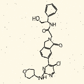 O=C(CN1Cc2ccc(-c3nc(NC4CCOCC4)ncc3Cl)cc2C1=O)N[C@@H](CO)c1ccccc1